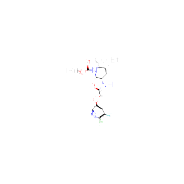 CCOC(=O)[C@H]1CC[C@H](NC(=O)COc2cnc(Cl)c(F)c2)CN1C(=O)OC(C)(C)C